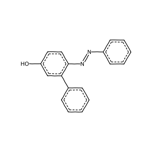 Oc1ccc(/N=N/c2ccccc2)c(-c2ccccc2)c1